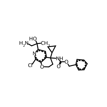 CC(O)(CN)c1cc2c(c(Cl)n1)OCCC2(NC(=O)OCc1ccccc1)C1CC1